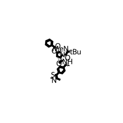 CN[C@H](C(=O)N1C[C@H](OC(=O)c2ccccc2)C[C@H]1C(=O)N[C@@H](C)c1ccc(-c2scnc2C)cc1)C(C)(C)C